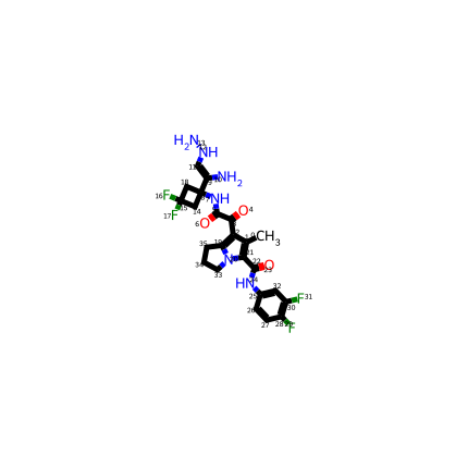 Cc1c(C(=O)C(=O)NC2(/C(N)=C/NN)CC(F)(F)C2)c2n(c1C(=O)Nc1ccc(F)c(F)c1)CCC2